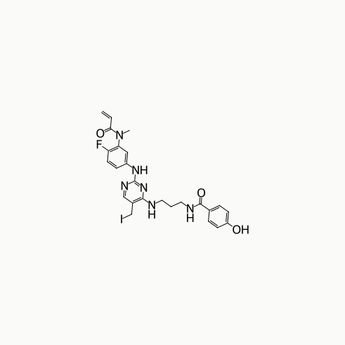 C=CC(=O)N(C)c1cc(Nc2ncc(CI)c(NCCCNC(=O)c3ccc(O)cc3)n2)ccc1F